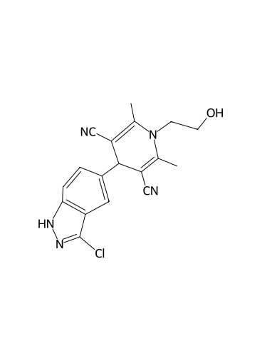 CC1=C(C#N)C(c2ccc3[nH]nc(Cl)c3c2)C(C#N)=C(C)N1CCO